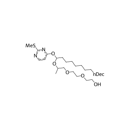 CCCCCCCCCCCCCCCCCC(Oc1ccnc(SC)n1)OC(C)COCCOCCO